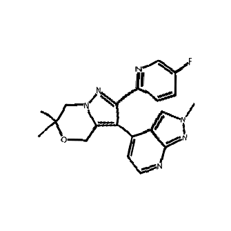 Cn1cc2c(-c3c(-c4ccc(F)cn4)nn4c3COC(C)(C)C4)ccnc2n1